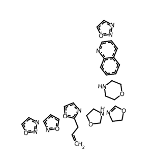 C1=NCCO1.C1COCCN1.C1COCN1.C=CCc1ncco1.c1ccc2ncccc2c1.c1cnoc1.c1conn1.c1conn1